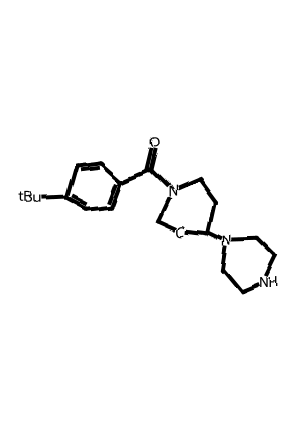 CC(C)(C)c1ccc(C(=O)N2CCC(N3CCNCC3)CC2)cc1